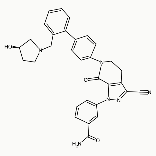 N#Cc1nn(-c2cccc(C(N)=O)c2)c2c1CCN(c1ccc(-c3ccccc3CN3CC[C@@H](O)C3)cc1)C2=O